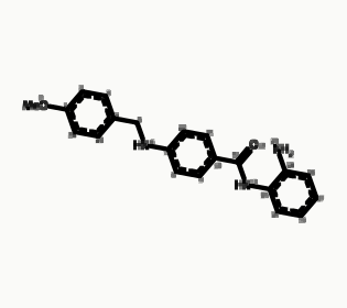 COc1ccc(CNc2ccc(C(=O)Nc3ccccc3N)cc2)cc1